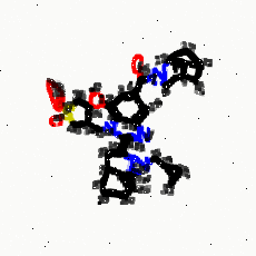 COc1cc(C(=O)N2CC3CC4CC2[C@H]43)cc2nc(-c3cc4ccccc4n3CC3CC3)n(CC3CCS(=O)(=O)C3)c12